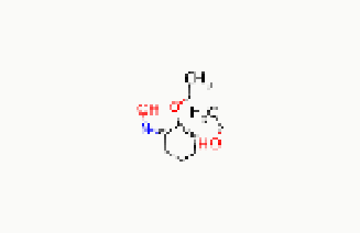 CCO.CCOC1=CCCCC1=NO